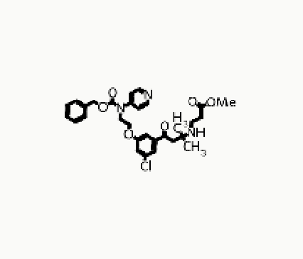 COC(=O)CCNC(C)(C)CC(=O)c1cc(Cl)cc(OCCN(C(=O)OCc2ccccc2)c2ccncc2)c1